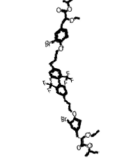 CCOC(Cc1ccc(OCCCc2ccc(-c3ccc(CCCOc4ccc(C[C@H](OCC)C(=O)OC(C)C)cc4Br)cc3C(F)(F)F)c(C(F)(F)F)c2)c(Br)c1)C(=O)OC(C)C